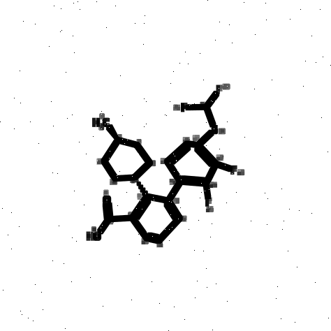 C[C@H]1CC[C@H](c2c(C(=O)O)cccc2-c2ccc(SC(F)F)c(F)c2F)CC1